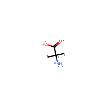 CC(C)([15NH2])C(=O)O